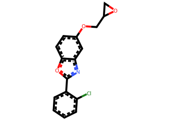 Clc1ccccc1-c1nc2cc(OCC3CO3)ccc2o1